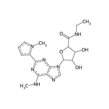 CCNC(=O)C1OC(n2cnc3c(NC)nc(-c4cccn4C)nc32)C(O)C1O